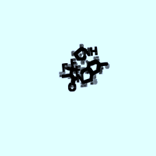 Cc1cc2c(c([C@@H]3CCCN3)c1)CN(C(=O)C(C)C(F)(F)F)CC2